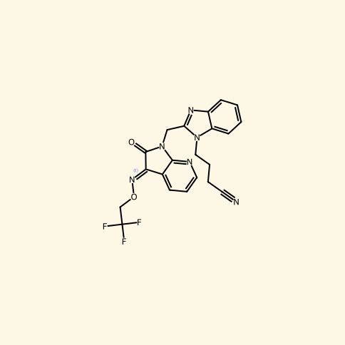 N#CCCCn1c(CN2C(=O)/C(=N/OCC(F)(F)F)c3cccnc32)nc2ccccc21